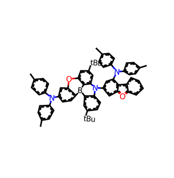 Cc1ccc(N(c2ccc(C)cc2)c2ccc3c(c2)Oc2cc(C(C)(C)C)cc4c2B3c2cc(C(C)(C)C)ccc2N4c2cc(N(c3ccc(C)cc3)c3ccc(C)cc3)c3c(c2)oc2ccccc23)cc1